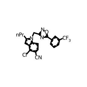 CCCc1cc2c(Cl)c(C#N)ccc2n1Cc1noc(-c2cccc(C(F)(F)F)c2)n1